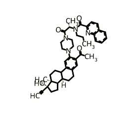 C#C[C@]1(O)CCC2[C@@H]3CCc4cc(C(C)=O)c(N5CCN(C(=O)[C@H](C)N(CCC)C(=O)c6ccc7ccccc7n6)CC5)cc4C3CC[C@@]21C